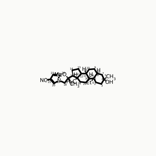 CC[C@]12CC[C@@](C)(O)C[C@H]1CC[C@H]1[C@@H]3CC[C@H]([C@](C)(Cn4cc(C#N)cn4)OC)[C@@]3(C)CC[C@@H]12